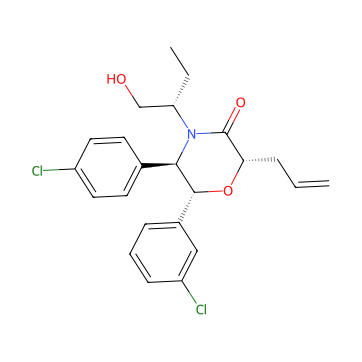 C=CC[C@@H]1O[C@H](c2cccc(Cl)c2)[C@@H](c2ccc(Cl)cc2)N([C@@H](CC)CO)C1=O